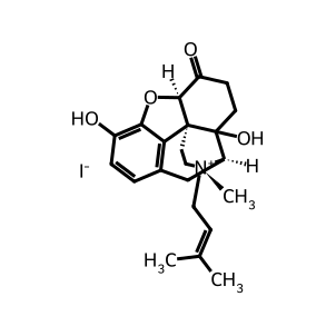 CC(C)=CC[N@+]1(C)CC[C@]23c4c5ccc(O)c4O[C@H]2C(=O)CCC3(O)[C@H]1C5.[I-]